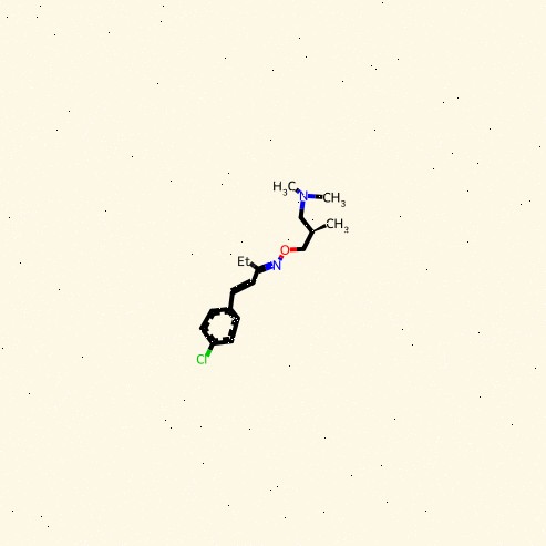 CCC(/C=C/c1ccc(Cl)cc1)=N\OC[C@H](C)CN(C)C